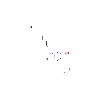 CCCCCCCCOc1cc(O)c(C(=O)c2ccccc2)cc1CCl